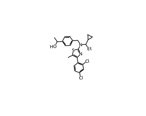 CCC(C1CC1)N(Cc1ccc(C(C)O)cc1)c1nc(-c2ccc(Cl)cc2Cl)c(C)s1